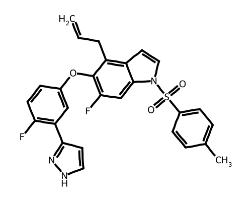 C=CCc1c(Oc2ccc(F)c(-c3cc[nH]n3)c2)c(F)cc2c1ccn2S(=O)(=O)c1ccc(C)cc1